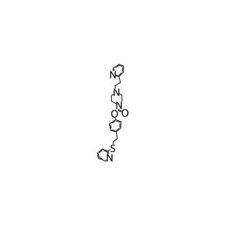 O=C(Oc1ccc(CCSc2ccccn2)cc1)N1CCN(CCc2ccccn2)CC1